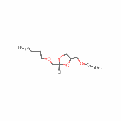 CCCCCCCCCCCOCC1COC(C)(COCCCS(=O)(=O)O)O1